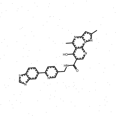 Cc1cc2nc(C)c3c(O)c(C(=O)NCc4ccc(-c5ccc6scnc6c5)nc4)cnc3n2n1